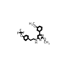 COc1cccc(-c2cc(NCCc3ccc(OC(F)(F)F)cc3)nc(OC)n2)c1